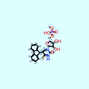 COP(=O)(O)OC[C@H]1O[C@@H](n2cc(C3c4ccccc4-c4ccccc43)c(=S)[nH]c2=O)[C@H](O)[C@@H]1O